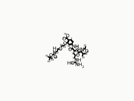 COC(=O)c1ccc(NC(=O)[C@H](CCCNC(N)O)NC(=O)[C@@H](NC(C)=O)C(C)C)cc1OCCOCCNC(=O)OC(C)(C)C